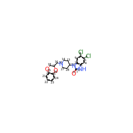 O=c1[nH]c2cc(Cl)c(Cl)cc2n1C1CCN(CC2COc3ccccc3O2)CC1